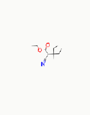 CCOC(=O)C(C#N)C(C)(CC)CC